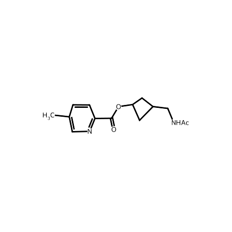 CC(=O)NCC1CC(OC(=O)c2ccc(C)cn2)C1